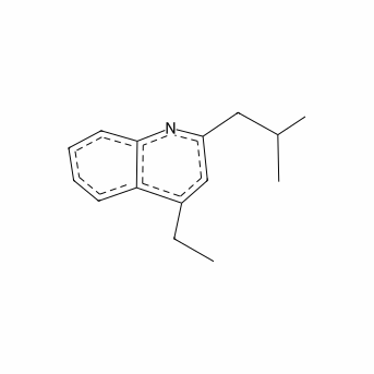 CCc1cc(CC(C)C)nc2ccccc12